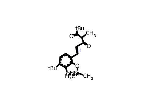 COc1c(C(C)(C)C)ccc(/C=C/C(=O)C(C)C(=O)C(C)(C)C)c1O[SiH](C)C